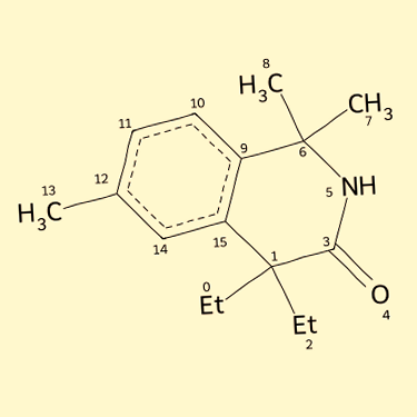 CCC1(CC)C(=O)NC(C)(C)c2ccc(C)cc21